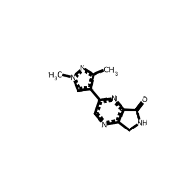 Cc1nn(C)cc1-c1cnc2c(n1)C(=O)NC2